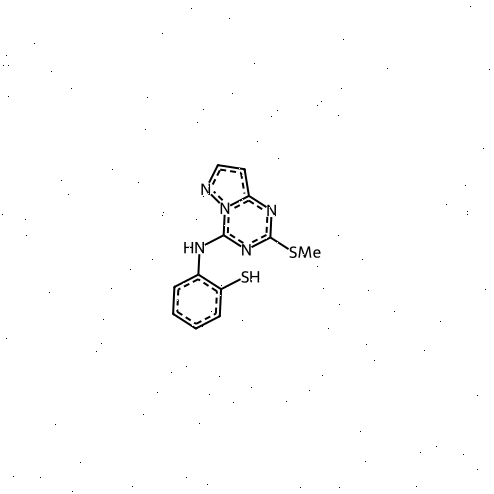 CSc1nc(Nc2ccccc2S)n2nccc2n1